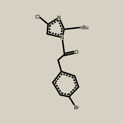 CCCCc1nc(Cl)cn1C(=O)Cc1ccc(Br)cc1